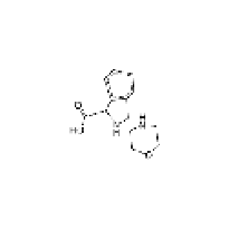 C1COCCN1.O=C(O)C1NCc2ccccc21